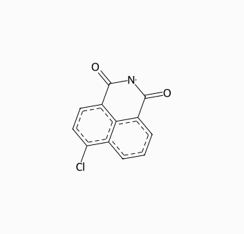 O=C1[N]C(=O)c2ccc(Cl)c3cccc1c23